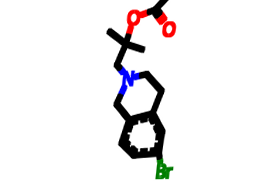 CC(=O)OC(C)(C)CN1CCc2cc(Br)ccc2C1